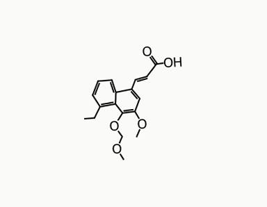 CCc1cccc2c(C=CC(=O)O)cc(OC)c(OCOC)c12